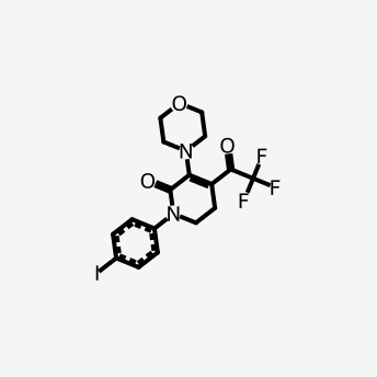 O=C1C(N2CCOCC2)=C(C(=O)C(F)(F)F)CCN1c1ccc(I)cc1